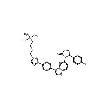 C[Si](C)(C)CCOCn1cnc(-c2ccc(-c3cnn4ccc(N5C(=O)OCC5c5ccc(F)cn5)nc34)cc2)n1